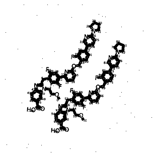 COCCn1c(Cc2cc(F)c(-c3cccc(OCc4ccc(-c5ccc(N6CCCC6)nc5)cc4F)n3)cc2F)nc2ccc(C(=O)O)cc21.COCCn1c(Cc2cc(F)c(-c3cccc(OCc4ccc(-c5ccc(N6CCCC6)nc5)cc4F)n3)cc2F)nc2ccc(C(=O)O)cc21